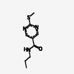 CCCNC(=O)c1cnc(SC)nc1